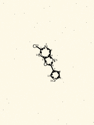 Clc1ncc2nc(-c3ccsc3)oc2n1